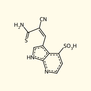 N#CC(=Cc1c[nH]c2nccc(S(=O)(=O)O)c12)C(N)=S